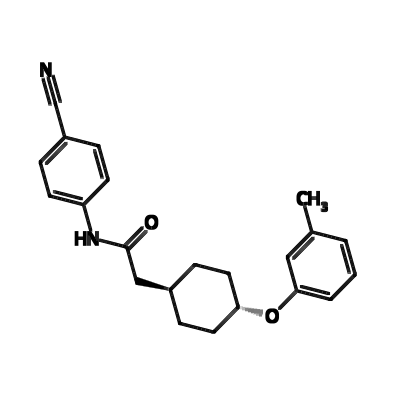 Cc1cccc(O[C@H]2CC[C@H](CC(=O)Nc3ccc(C#N)cc3)CC2)c1